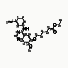 C#Cc1cccc(Nc2ncnc3cc(OC)c(OCCCCCC(=O)OCC)cc23)c1